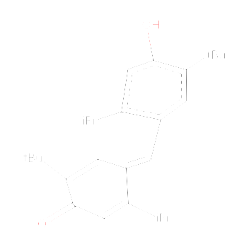 CC(C)C1=CC(=O)C(C(C)(C)C)=CC1=Cc1cc(C(C)(C)C)c(O)cc1C(C)C